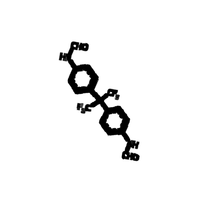 O=CNc1ccc(C(c2ccc(NC=O)cc2)(C(F)(F)F)C(F)(F)F)cc1